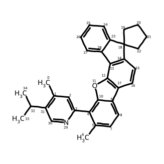 Cc1cc(-c2c(C)ccc3c2oc2c4c(ccc23)C2(CCCC2)c2ccccc2-4)ncc1C(C)C